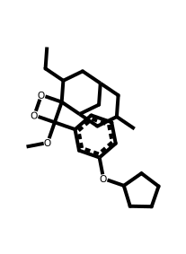 CCC1CC2CC(C)CC(C2)C12OOC2(OC)c1cccc(OC2CCCC2)c1